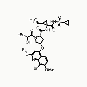 C=CC1C[C@]1(NC(=O)[C@@H]1C[C@@H](Oc2cc(OCC)nc3c(Br)c(OC)ccc23)CN1C(=O)[C@@H](O)C(C)(C)C)C(=O)NS(=O)(=O)C1CC1